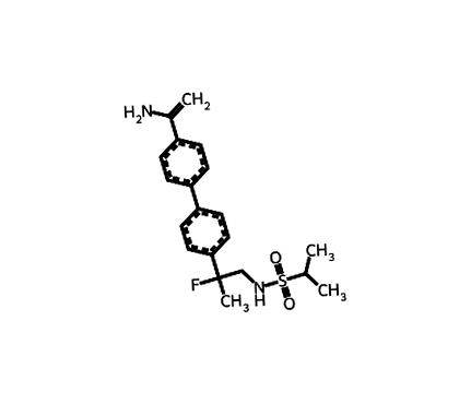 C=C(N)c1ccc(-c2ccc(C(C)(F)CNS(=O)(=O)C(C)C)cc2)cc1